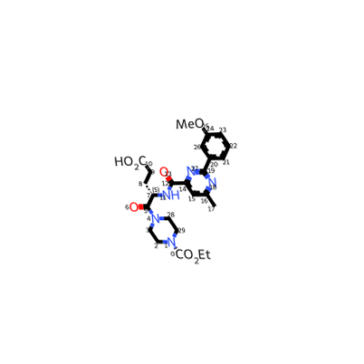 CCOC(=O)N1CCN(C(=O)[C@H](CCC(=O)O)NC(=O)c2cc(C)nc(-c3cccc(OC)c3)n2)CC1